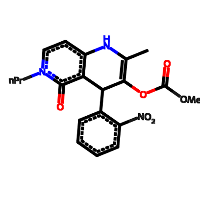 CCCn1ccc2c(c1=O)C(c1ccccc1[N+](=O)[O-])C(OC(=O)OC)=C(C)N2